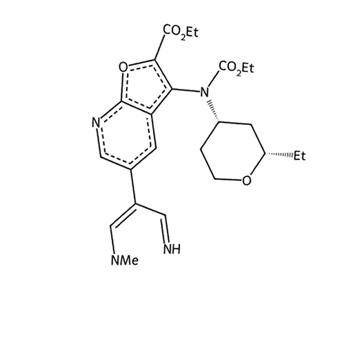 CCOC(=O)c1oc2ncc(/C(C=N)=C/NC)cc2c1N(C(=O)OCC)[C@H]1CCO[C@@H](CC)C1